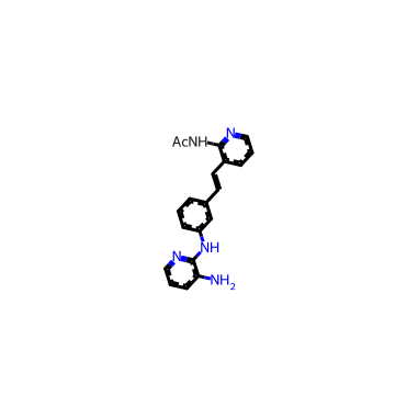 CC(=O)Nc1ncccc1C=Cc1cccc(Nc2ncccc2N)c1